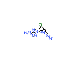 [N-]=[N+]=NCc1cc2cc(Cl)cc(Cn3cnc4c(N)ncnc43)c2[nH]1